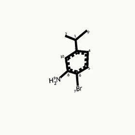 CC(C)c1ccc(Br)c(N)c1